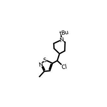 Cc1cc(C(Cl)C2CCN(C(C)(C)C)CC2)sn1